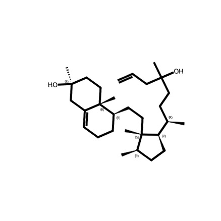 C=CCC(C)(O)CC[C@@H](C)[C@H]1CC[C@@H](C)[C@]1(C)CC[C@H]1CCC=C2C[C@@](C)(O)CC[C@@]21C